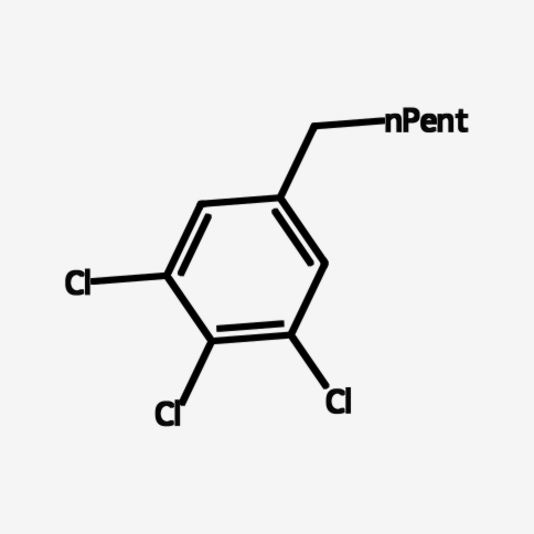 [CH2]CCCCCc1cc(Cl)c(Cl)c(Cl)c1